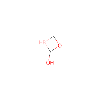 OC1BCO1